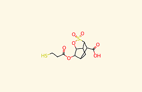 O=C(CCS)OC1C2CC3C1OS(=O)(=O)C3C2C(=O)O